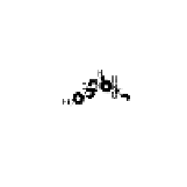 CCCOC(=O)Nc1ccc(N2CCC[C@@]3(CCN([C@H]4CC[C@H](O)CC4)C3=O)C2)c(C#N)c1